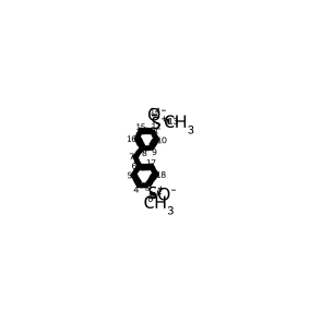 C[S+]([O-])c1ccc([CH]c2ccc([S+](C)[O-])cc2)cc1